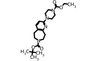 CCOC(=O)N1CCN(c2ccc3c(n2)CCN(C(=O)OC(C)(C)C)CC3)CC1